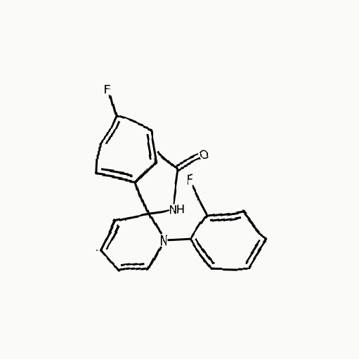 CC(=O)NC1(c2ccc(F)cc2)C=[C]C=CN1c1ccccc1F